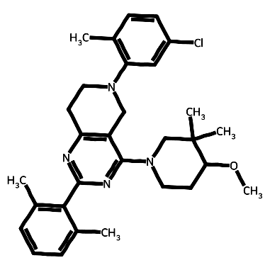 COC1CCN(c2nc(-c3c(C)cccc3C)nc3c2CN(c2cc(Cl)ccc2C)CC3)CC1(C)C